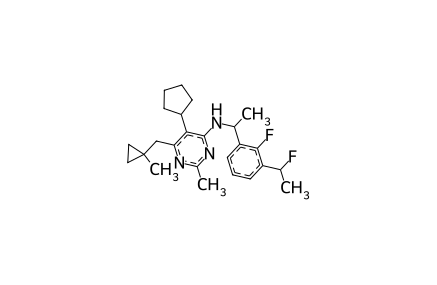 Cc1nc(CC2(C)CC2)c(C2CCCC2)c(NC(C)c2cccc(C(C)F)c2F)n1